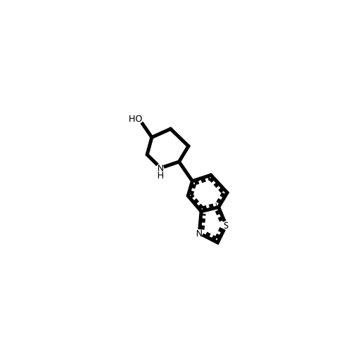 OC1CCC(c2ccc3scnc3c2)NC1